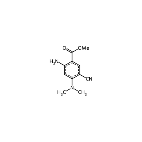 COC(=O)c1cc(C#N)c(N(C)C)cc1N